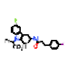 CCC(C(=O)O)n1c2c(c3cc(F)ccc31)CC(NC(=O)CCc1ccc(I)cc1)CC2